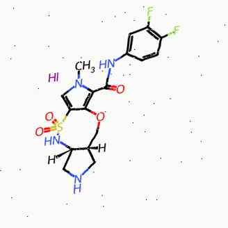 Cn1cc2c(c1C(=O)Nc1ccc(F)c(F)c1)OC[C@@H]1CNC[C@@H]1NS2(=O)=O.I